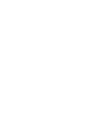 Nc1ccc(CNC(=O)c2cccn2-c2ncc(C(F)(F)F)cc2Cl)cc1